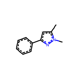 Cc1[c]c(-c2ccccc2)nn1C